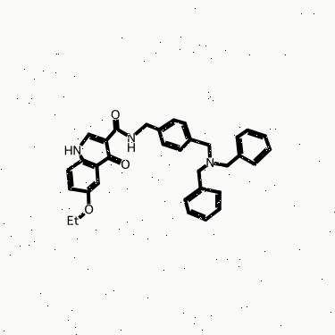 CCOc1ccc2[nH]cc(C(=O)NCc3ccc(CN(Cc4ccccc4)Cc4ccccc4)cc3)c(=O)c2c1